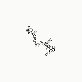 CCc1c(F)ccc2cc(OCOC)cc(-c3ncc4c(N5CC6CCC(C6)C5)nc(OCC5(CN6CCC(C)(CN7CCN(c8ccc9c(c8)CN(C8CCC(=O)NC8=O)C9=O)CC7)CC6)CC5)nc4c3F)c12